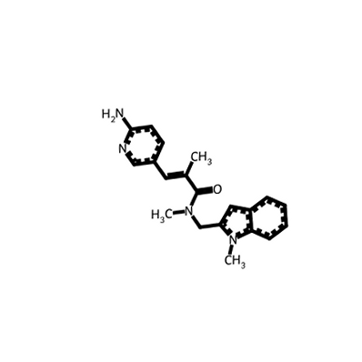 CC(=Cc1ccc(N)nc1)C(=O)N(C)Cc1cc2ccccc2n1C